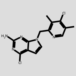 Cc1cnc(Cn2ccc3c(Cl)nc(N)nc32)c(C)c1Cl